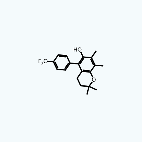 Cc1c(C)c2c(c(-c3ccc(C(F)(F)F)cc3)c1O)CCC(C)(C)O2